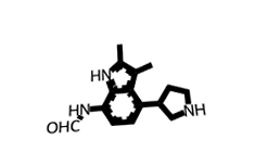 Cc1[nH]c2c(NC=O)ccc(C3CCNC3)c2c1C